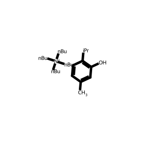 CCCC[N+](CCCC)(CCCC)CCCC.Cc1ccc(C(C)C)c(O)c1